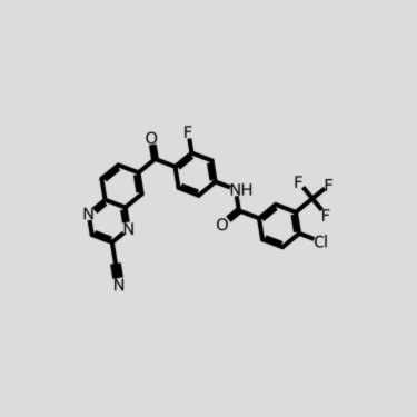 N#Cc1cnc2ccc(C(=O)c3ccc(NC(=O)c4ccc(Cl)c(C(F)(F)F)c4)cc3F)cc2n1